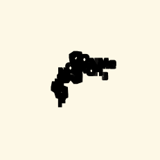 CNC(C)C(=O)NC(C(=O)N1CCCC1c1cncc(-n2ccc3cc(F)ccc32)c1)C1CCCCC1